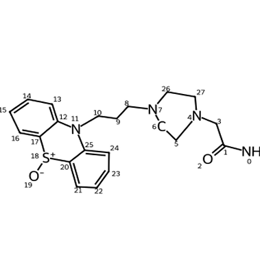 NC(=O)CN1CCN(CCCN2c3ccccc3[S+]([O-])c3ccccc32)CC1